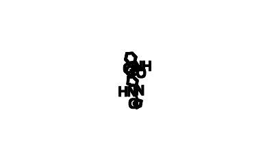 O=S(=O)(Nc1ccccc1Cl)c1ccc2[nH]c(-c3ccco3)nc2c1